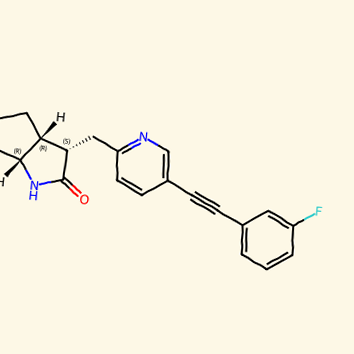 O=C1N[C@@H]2CCC[C@@H]2[C@@H]1Cc1ccc(C#Cc2cccc(F)c2)cn1